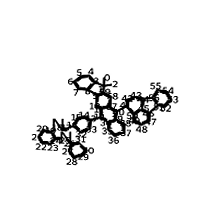 CC1(C)c2ccccc2-c2cc3c(-c4ccc(-c5nc6ccccc6n5-c5ccccc5)cc4)c4ccccc4c(-c4ccc5c6c(cccc46)-c4ccccc4-5)c3cc21